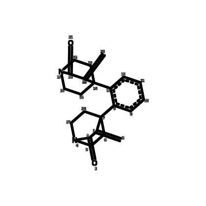 C=C1C(=O)N2CCC1(c1ccccc1C13CCN(CC1)C(=O)C3=C)CC2